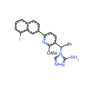 COc1nc(-c2ccc3cccc(F)c3c2)ccc1C(C(C)C)n1cnnc1N